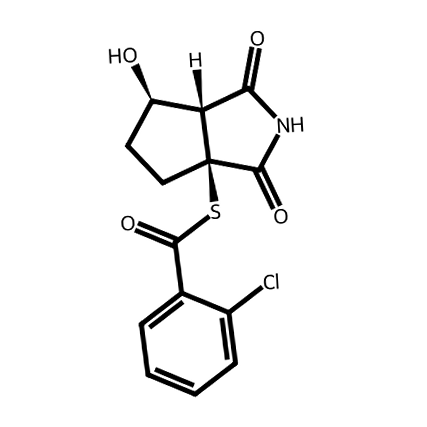 O=C(S[C@@]12CC[C@@H](O)[C@@H]1C(=O)NC2=O)c1ccccc1Cl